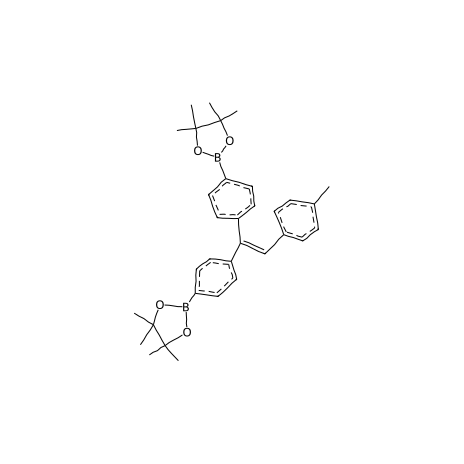 Cc1ccc(C=C(c2ccc(B3OC(C)(C)C(C)(C)O3)cc2)c2ccc(B3OC(C)(C)C(C)(C)O3)cc2)cc1